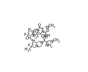 COC[C@@H](C(=O)N1CCN(CC(C)(C)F)CC1)N(C(=O)O)C(C)(C)C.COC[C@H](N)C(=O)N1CCN(CC(C)(C)F)CC1